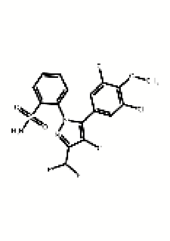 COc1c(Cl)cc(-c2c(Cl)c(C(F)F)nn2-c2ccccc2S(N)(=O)=O)cc1Cl